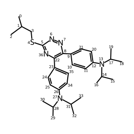 CC(C)CSc1nnc(-c2ccc(N(C(C)C)C(C)C)cc2)c(-c2ccc(N(C(C)C)C(C)C)cc2)n1